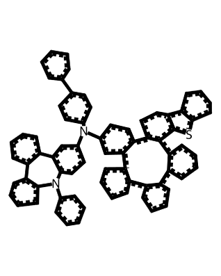 c1ccc(-c2ccc(N(c3ccc4c(c3)-c3ccccc3-c3ccccc3N4c3ccccc3)c3ccc4c(c3)c3ccccc3c3ccccc3c3ccccc3c3c4ccc4c5ccccc5sc43)cc2)cc1